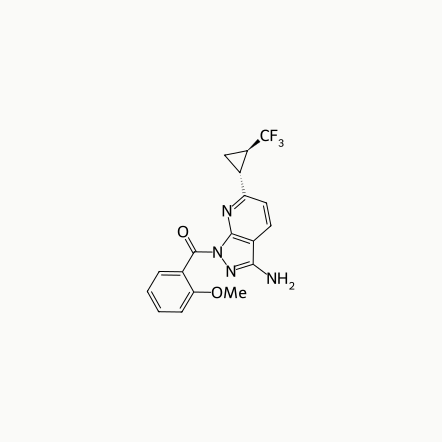 COc1ccccc1C(=O)n1nc(N)c2ccc([C@@H]3C[C@H]3C(F)(F)F)nc21